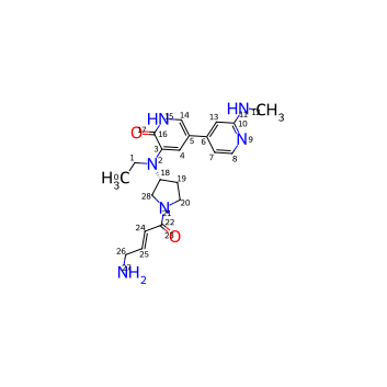 CCN(c1cc(-c2ccnc(NC)c2)c[nH]c1=O)[C@@H]1CCN(C(=O)/C=C/CN)C1